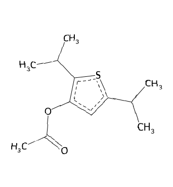 CC(=O)Oc1cc(C(C)C)sc1C(C)C